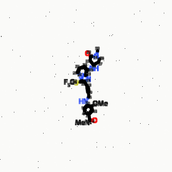 CNC(=O)c1ccc(NCC#Cc2nc3c(N[C@H]4CCN(C)C(=O)C4)cccn3c2SC(F)(F)F)c(OC)c1